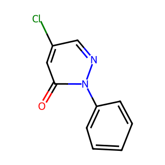 O=c1cc(Cl)cnn1-c1ccccc1